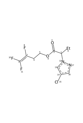 CCC(C(=O)OCCC(F)=C(F)F)n1cc(Cl)cn1